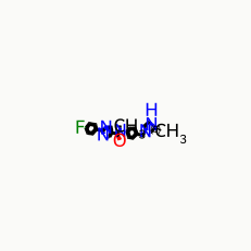 C[C@H]1CN(Cc2ccc(N(C)C(=O)c3cnc(-c4ccc(F)cc4)nc3)cc2)CCN1